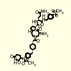 Cn1c(=O)n(C2CCC(=O)NC2=O)c2ccc(C[C@H]3CC[C@@H](CC(=O)N4CC[C@H]5CC[C@@H](C(=O)N[C@@H](CCC(N)=O)C(=O)NCc6ccc(S(C)(=O)=O)cc6)N5C(=O)[C@@H](N)C4)CC3)cc21